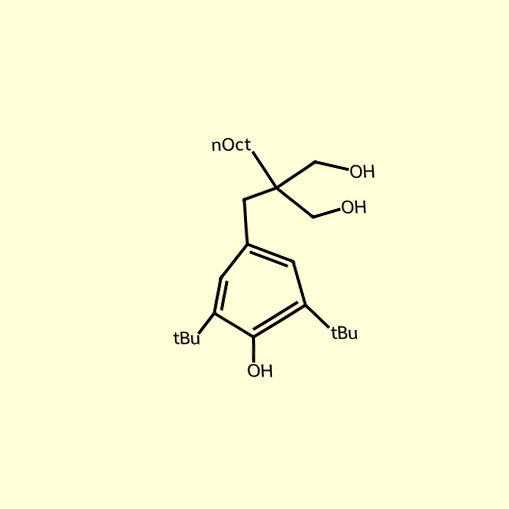 CCCCCCCCC(CO)(CO)Cc1cc(C(C)(C)C)c(O)c(C(C)(C)C)c1